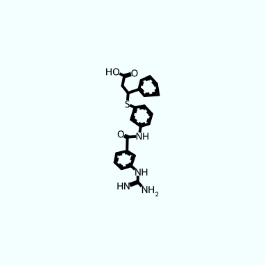 N=C(N)Nc1cccc(C(=O)Nc2cccc(SC(CC(=O)O)c3ccccc3)c2)c1